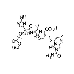 CC1=NC2=CN(C(N)=O)NN2C(SCC2=C(C(=O)O)N3C(=O)[C@@H](NC(=O)C(=NOC(C)(C)C(=O)OC(C)(C)C)c4csc(N)n4)[C@H]3SC2)=C1